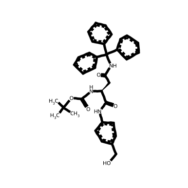 CC(C)(C)OC(=O)N[C@@H](CC(=O)NC(c1ccccc1)(c1ccccc1)c1ccccc1)C(=O)Nc1ccc(CO)cc1